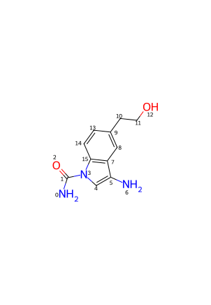 NC(=O)n1cc(N)c2cc(CCO)ccc21